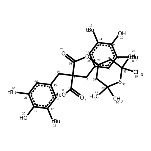 COC(=O)C(Cc1cc(C(C)(C)C)c(O)c(C(C)(C)C)c1)(Cc1cc(C(C)(C)C)c(O)c(C(C)(C)C)c1)C(=O)OC1CC(C)(C)SC(C)(C)C1